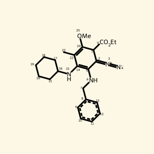 CCOC(=O)C1C(=[N+]=[N-])C(NCc2ccccc2)=C(NC2CCCCC2)C(C)=C1OC